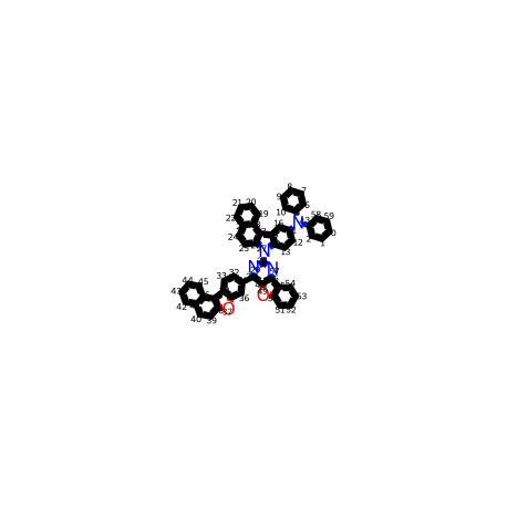 c1ccc(N(c2ccccc2)c2ccc3c(c2)c2c4ccccc4ccc2n3-c2nc(-c3ccc4c(c3)oc3ccc5ccccc5c34)c3oc4ccccc4c3n2)cc1